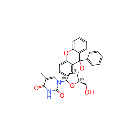 Cc1cn([C@H]2C[C@H](OC3(c4ccccc4)c4ccccc4Oc4ccccc43)[C@@H](CO)O2)c(=O)[nH]c1=O